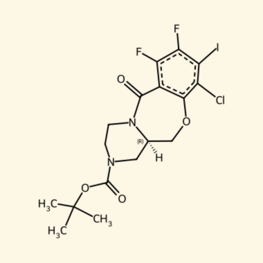 CC(C)(C)OC(=O)N1CCN2C(=O)c3c(F)c(F)c(I)c(Cl)c3OC[C@H]2C1